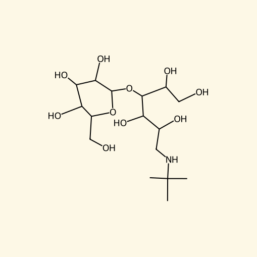 CC(C)(C)NCC(O)C(O)C(OC1OC(CO)C(O)C(O)C1O)C(O)CO